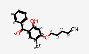 CCc1cc(C(=O)c2ccccc2)c(O)cc1OCCCCC#N